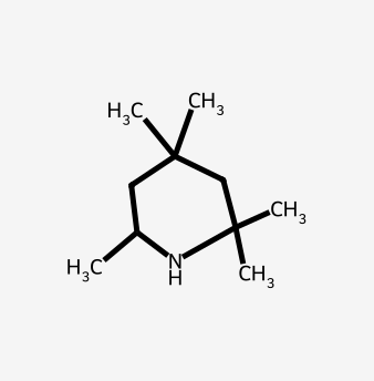 CC1CC(C)(C)CC(C)(C)N1